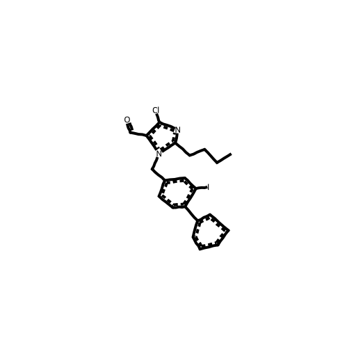 CCCCc1nc(Cl)c(C=O)n1Cc1ccc(-c2ccccc2)c(I)c1